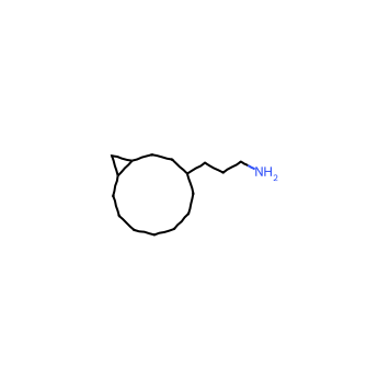 NCCCC1CCCCCCCC2CC2CC1